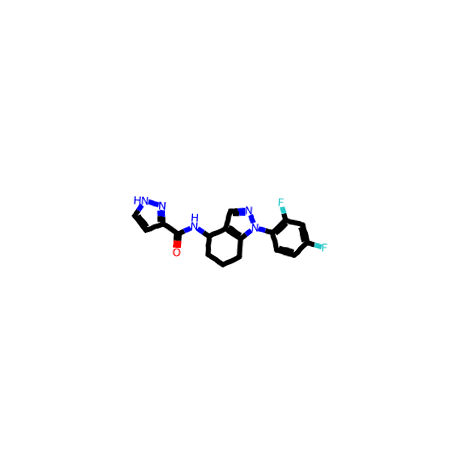 O=C(NC1CCCc2c1cnn2-c1ccc(F)cc1F)c1cc[nH]n1